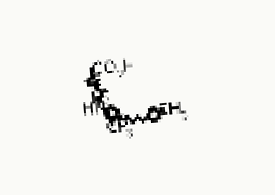 Cc1ccc(CCCCOc2ccc(Nc3nc(-c4ccc(CC(=O)O)s4)cs3)cc2C(F)(F)F)cc1